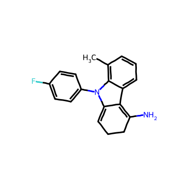 Cc1cccc2c3c(n(-c4ccc(F)cc4)c12)=CCCC=3N